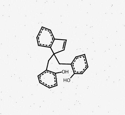 Oc1ccccc1CC1(Cc2ccccc2O)C=Cc2ccccc21